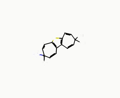 CC1(C)C=Cc2sc3c(c2C=C1)C=CC(C)(N)C=C3